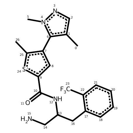 Cc1cnn(C)c1-c1cc(C(=O)NC(CN)Cc2ccccc2C(F)(F)F)sc1C